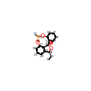 CC[C@@H]1O[C@@]23OCc4cccc(c42)OP(C)Oc2cccc1c23